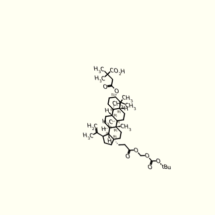 C=C(C)C1CC[C@]2(CCC(=O)OCOC(=O)OC(C)(C)C)CC[C@]3(C)[C@H](CC[C@@H]4[C@@]5(C)CC[C@H](OC(=O)CC(C)(C)C(=O)O)C(C)(C)[C@@H]5CC[C@]43C)[C@@H]12